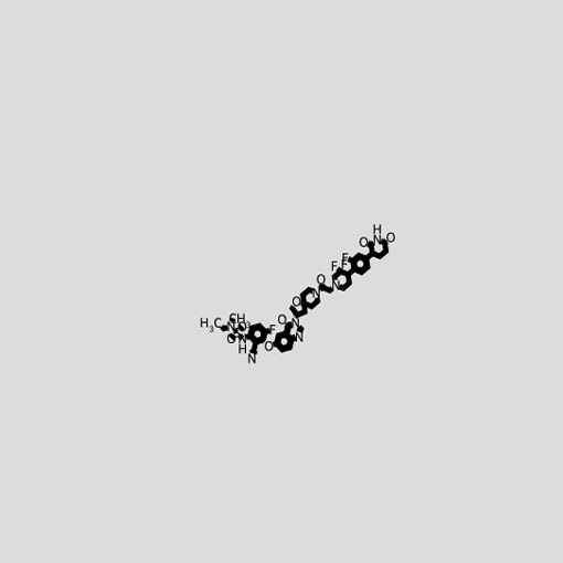 CCN(C)S(=O)(=O)Nc1ccc(F)c(Oc2ccc3ncn([C@H]4COC5(CCN(C(=O)CN6CCC(c7ccc(C8CCC(=O)NC8=O)cc7F)C(F)(F)C6)CC5)C4)c(=O)c3c2)c1C#N